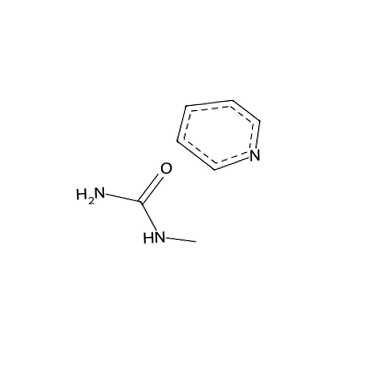 CNC(N)=O.c1ccncc1